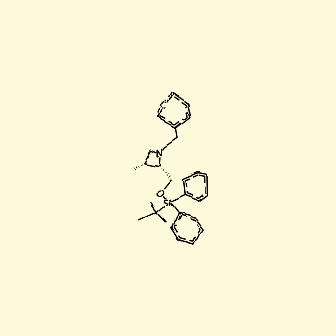 C[C@@H]1CN(Cc2ccccc2)[C@@H]1CO[Si](c1ccccc1)(c1ccccc1)C(C)(C)C